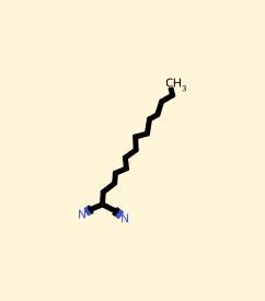 CCCCCCCCCCCCCC(C#N)C#N